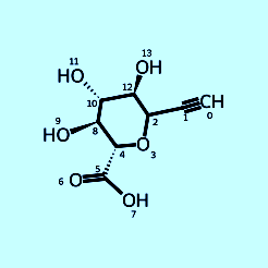 C#CC1O[C@H](C(=O)O)[C@@H](O)[C@H](O)[C@H]1O